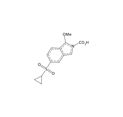 COc1c2ccc(S(=O)(=O)C3CC3)cc2cn1C(=O)O